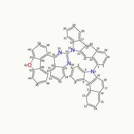 c1cc(-n2c3ccccc3c3c4ccccc4ccc32)c2cc3c(cc2c1)c1ccccc1n3-c1nc(-c2cccc3oc4ccccc4c23)c2ccccc2n1